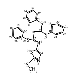 CSc1ncc(N=C(CC(Sc2ccccc2)Sc2ccccc2)Sc2ccccc2)s1